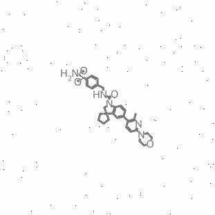 Cc1nc(N2CCOCC2)ccc1-c1ccc2c(c1)C1(CCCC1)CN2C(=O)NCc1ccc(S(N)(=O)=O)cc1